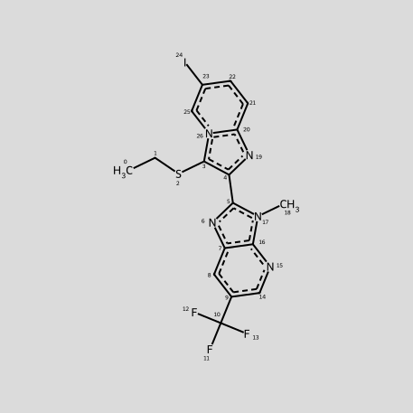 CCSc1c(-c2nc3cc(C(F)(F)F)cnc3n2C)nc2ccc(I)cn12